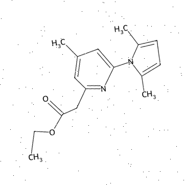 CCOC(=O)Cc1cc(C)cc(-n2c(C)ccc2C)n1